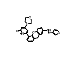 O=c1cc(N2CCOCC2)cc(-c2cccc3c2Oc2ccc(NCc4ccsc4)cc2C3)[nH]1